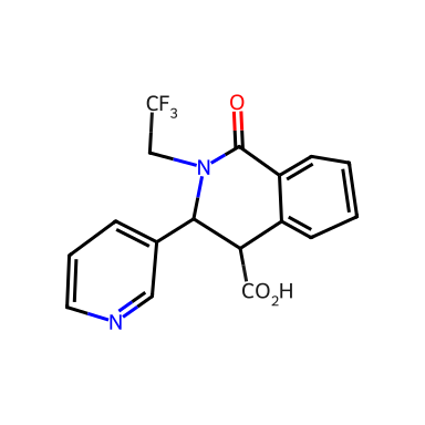 O=C(O)C1c2ccccc2C(=O)N(CC(F)(F)F)C1c1cccnc1